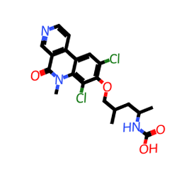 CC(COc1c(Cl)cc2c3ccncc3c(=O)n(C)c2c1Cl)CC(C)NC(=O)O